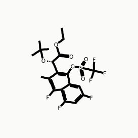 CCOC(=O)[C@@H](OC(C)(C)C)c1c(C)c(F)c2c(F)cc(F)cc2c1OS(=O)(=O)C(F)(F)F